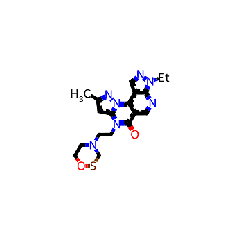 CCn1ncc2c1ncc1c(=O)n(CCN3CCOSC3)c3cc(C)nn3c12